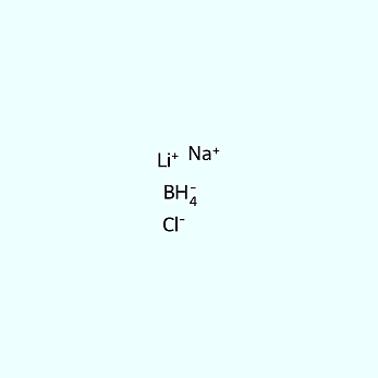 [BH4-].[Cl-].[Li+].[Na+]